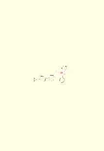 O=C(NCc1cc(-c2ccc(C3CC3)nc2)ncn1)[C@@H]1C[C@@H](F)CN1S(=O)(=O)c1ccc(F)cc1